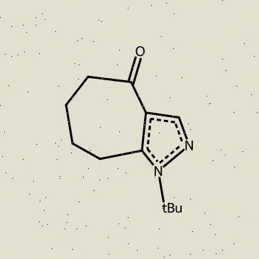 CC(C)(C)n1ncc2c1CCCCC2=O